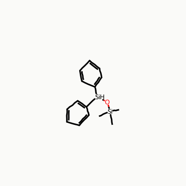 C[Si](C)(C)O[SiH](c1ccccc1)c1ccccc1